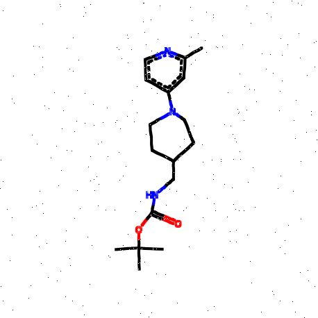 Cc1cc(N2CCC(CNC(=O)OC(C)(C)C)CC2)ccn1